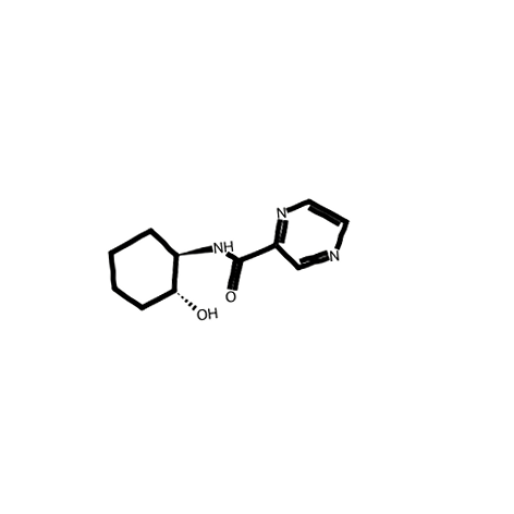 O=C(N[C@@H]1CCCC[C@H]1O)c1cnccn1